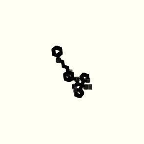 O=C(OC1C[N+]2(CCCOc3ccccc3)CCC1CC2)C(O)(c1ccco1)c1ccco1